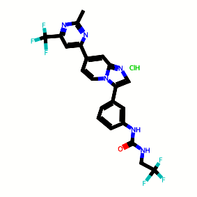 Cc1nc(-c2ccn3c(-c4cccc(NC(=O)NCC(F)(F)F)c4)cnc3c2)cc(C(F)(F)F)n1.Cl